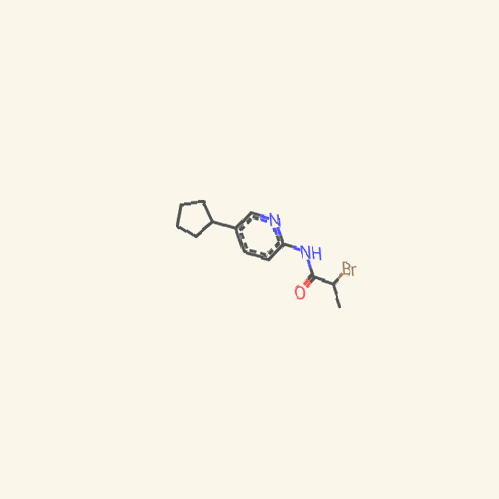 CC(Br)C(=O)Nc1ccc(C2CCCC2)cn1